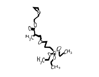 CCO[Si](CCCOCC(C)C(=O)OCCN1CC1)(OCC)OCC